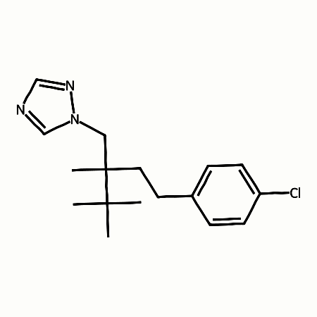 CC(C)(C)C(C)(CCc1ccc(Cl)cc1)Cn1cncn1